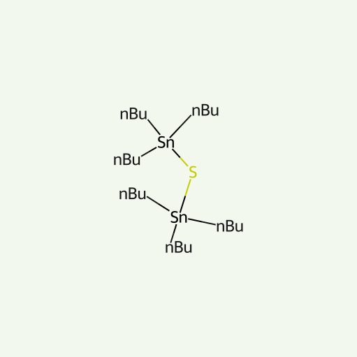 CCC[CH2][Sn]([CH2]CCC)([CH2]CCC)[S][Sn]([CH2]CCC)([CH2]CCC)[CH2]CCC